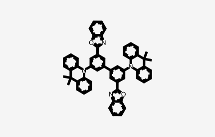 CC1(C)c2ccccc2N(c2cc(-c3cc(-c4nc5ccccc5o4)cc(N4c5ccccc5C(C)(C)c5ccccc54)c3)cc(-c3nc4ccccc4o3)c2)c2ccccc21